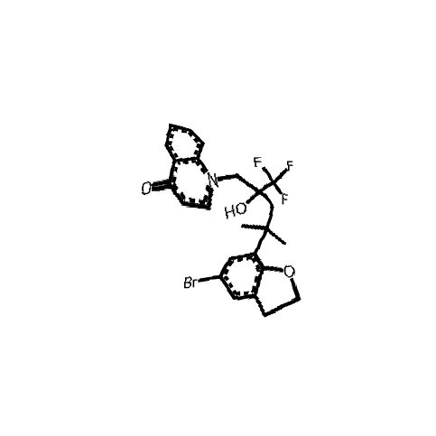 CC(C)(CC(O)(Cn1ccc(=O)c2ccccc21)C(F)(F)F)c1cc(Br)cc2c1OCC2